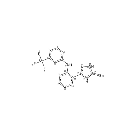 FC(F)(F)c1cccc(Nc2ccccc2-c2n[nH]c(=S)[nH]2)c1